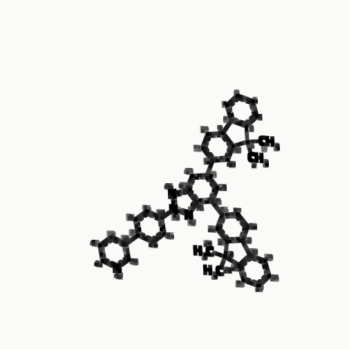 CC1(C)c2ccccc2-c2ccc(-c3cc(-c4ccc5c(c4)C(C)(C)c4ccccc4-5)c4nn(-c5ccc(-c6cccnc6)cc5)nc4c3)cc21